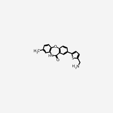 Cc1ccc2c(c1)NC(=O)c1cc(-c3ccc(CN)s3)ccc1O2